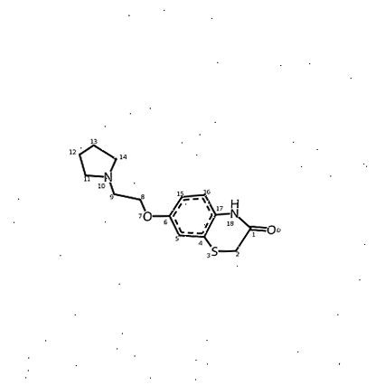 O=C1CSc2cc(OCCN3CCCC3)ccc2N1